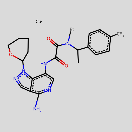 CCN(C(=O)C(=O)Nc1cnc(N)c2cnn(C3CCCCO3)c12)C(C)c1ccc(C(F)(F)F)cc1.[Cu]